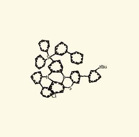 CC(C)(C)c1cccc(-c2ccc3c(c2)Sc2cc(Cl)cc4c2B3c2ccc([Si](c3ccccc3)(c3ccccc3)c3cccc(-c5ccccc5)c3)cc2N4c2ccccc2-c2ccccc2)c1